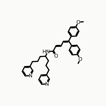 COc1ccc(C(=CC=CC(=O)NC(CCCc2cccnc2)CCCc2cccnc2)c2ccc(OC)cc2)cc1